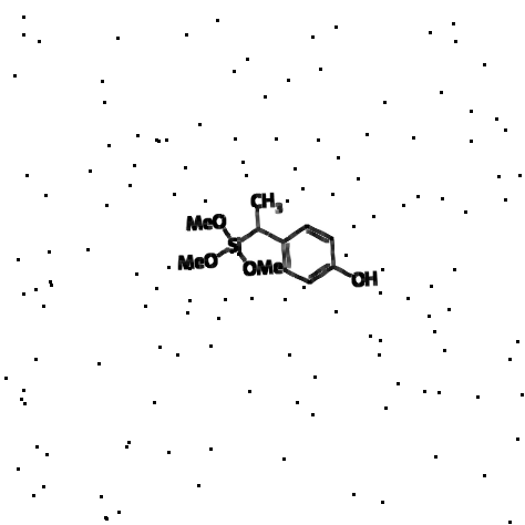 CO[Si](OC)(OC)C(C)c1ccc(O)cc1